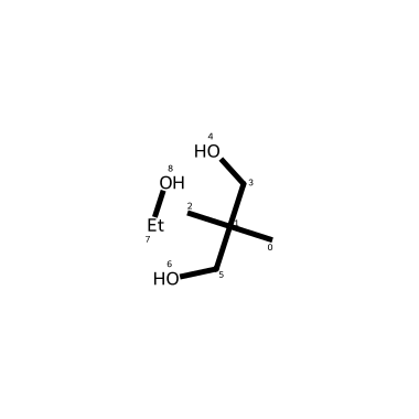 CC(C)(CO)CO.CCO